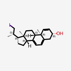 C[C@H](CI)[C@H]1CC[C@H]2C3=CC=C4C[C@@H](O)C=C[C@]4(C)[C@H]3CC[C@]12C